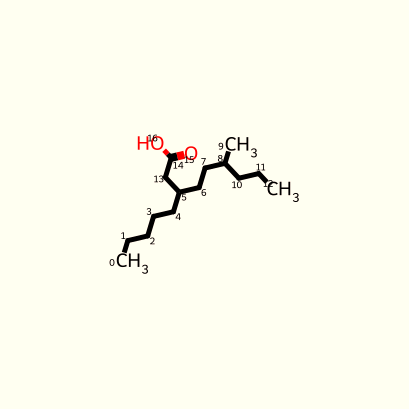 CCCCCC(CCC(C)CCC)CC(=O)O